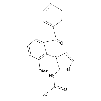 COc1cccc(C(=O)c2ccccc2)c1-n1ccnc1NC(=O)C(F)(F)F